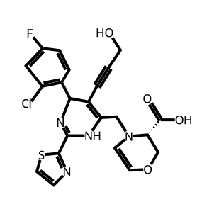 O=C(O)[C@@H]1COC=CN1CC1=C(C#CCO)C(c2ccc(F)cc2Cl)N=C(c2nccs2)N1